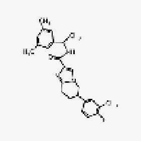 Cc1cc(C)cc(C(C)NC(=O)c2cn3c(n2)CCC(c2ccc(F)c(C)c2)C3)c1